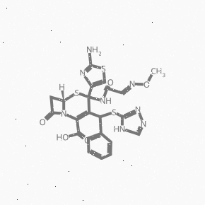 CON=CC(=O)NC1(c2csc(N)n2)S[C@H]2CC(=O)N2C(C(=O)O)=C1C(Sc1nnc[nH]1)c1ccccc1